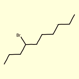 CC[CH]CCCC(Br)CCC